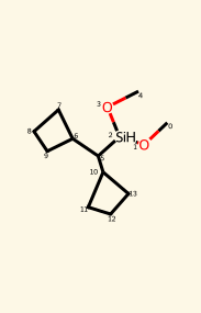 CO[SiH](OC)C(C1CCC1)C1CCC1